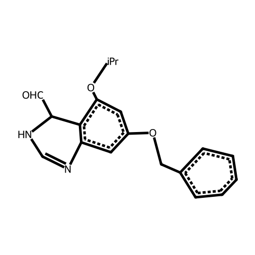 CC(C)Oc1cc(OCc2ccccc2)cc2c1C(C=O)NC=N2